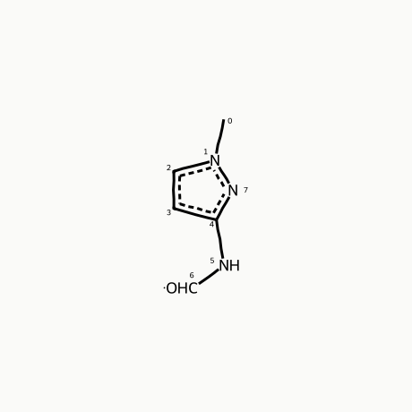 Cn1ccc(N[C]=O)n1